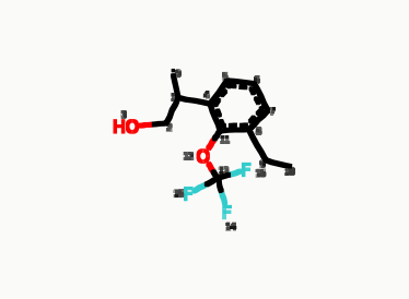 [CH2]C(CO)c1cccc(CC)c1OC(F)(F)F